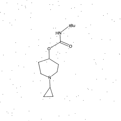 CC(C)(C)NC(=O)OC1CCN(C2CC2)CC1